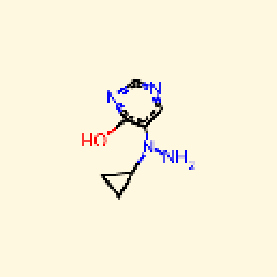 NN(c1cncnc1O)C1CC1